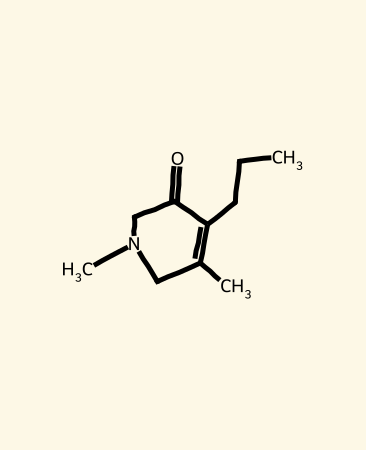 CCCC1=C(C)CN(C)CC1=O